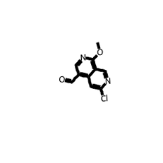 COc1ncc(C=O)c2cc(Cl)ncc12